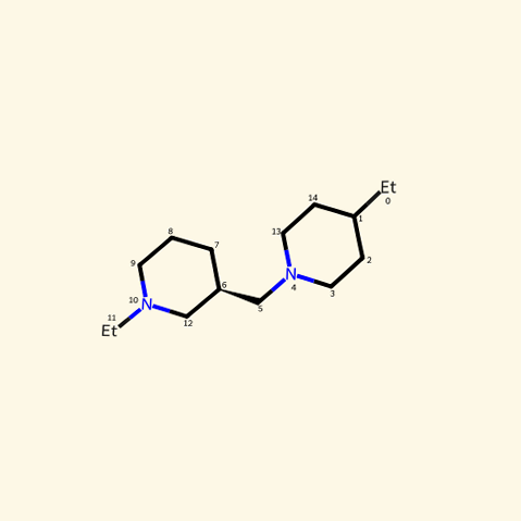 CCC1CCN(C[C@@H]2CCCN(CC)C2)CC1